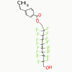 CCc1ccc(C(=O)OCC(F)(F)C(F)(F)C(F)(F)C(F)(F)C(F)(F)C(F)(F)C(F)(F)C(F)(F)CO)cc1